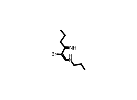 CCCN/C=C(/Br)C(=N)CCC